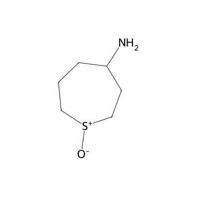 NC1CCC[S+]([O-])CC1